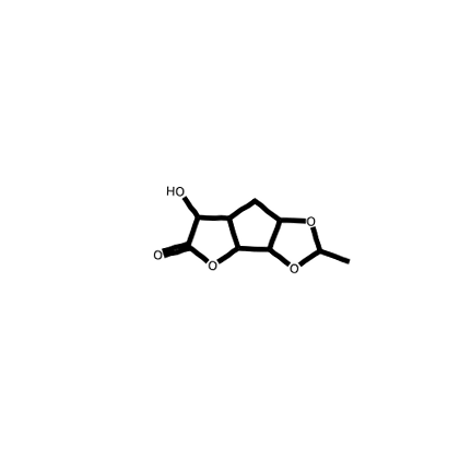 CC1OC2CC3C(O)C(=O)OC3C2O1